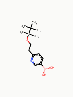 CC(C)(C)[Si](C)(C)OCCc1ccc(B(O)O)cn1